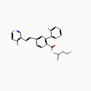 COc1ccncc1C=Cc1ccc(C(=O)NC(CCSC)C(=O)O)c(-c2ccccc2C)c1